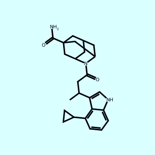 CC(CC(=O)N1C2CC3CC1CC(C(N)=O)(C3)C2)c1c[nH]c2cccc(C3CC3)c12